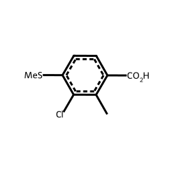 CSc1ccc(C(=O)O)c(C)c1Cl